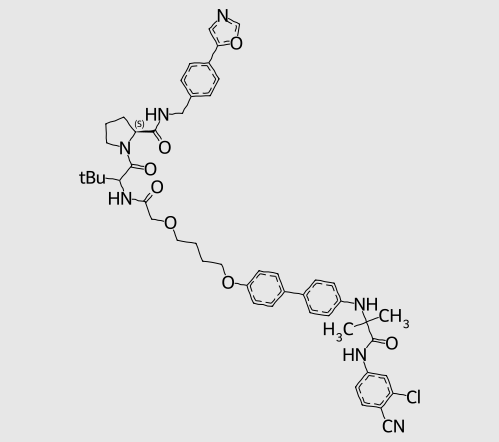 CC(C)(Nc1ccc(-c2ccc(OCCCCOCC(=O)NC(C(=O)N3CCC[C@H]3C(=O)NCc3ccc(-c4cnco4)cc3)C(C)(C)C)cc2)cc1)C(=O)Nc1ccc(C#N)c(Cl)c1